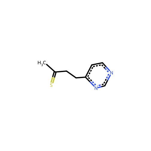 CC(=S)CCc1ccncn1